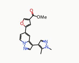 COC(=O)c1coc(-c2ccn3ncc(-c4cnn(C)c4C)c3c2)c1